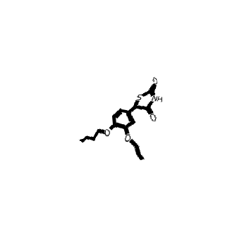 CCCCOc1ccc(C2SC(=O)NC2=O)cc1OCC